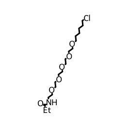 CCC(=O)NCCOCCOCCOCCOCCOCCCCCCCl